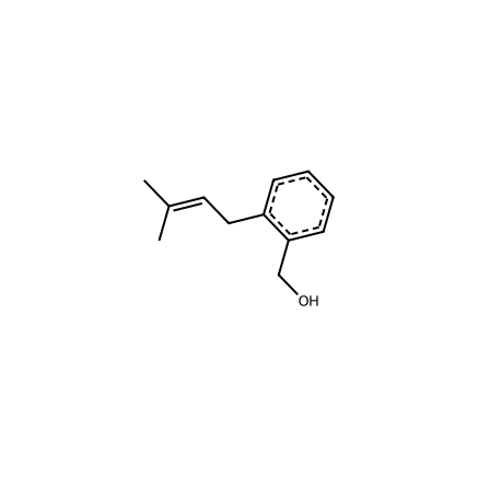 CC(C)=CCc1ccccc1CO